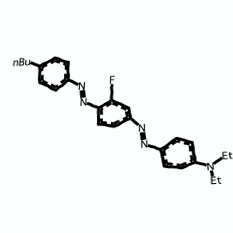 CCCCc1ccc(/N=N/c2ccc(/N=N/c3ccc(N(CC)CC)cc3)cc2F)cc1